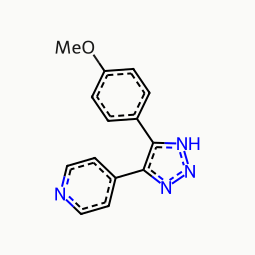 COc1ccc(-c2[nH]nnc2-c2ccncc2)cc1